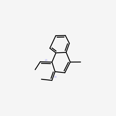 C/C=c1/cc(C)c2ccccc2/c1=C/C